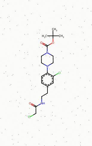 CC(C)(C)OC(=O)N1CCN(c2ccc(CCNC(=O)CCl)cc2Cl)CC1